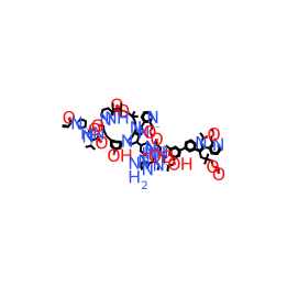 C=CC(=O)N1CC[C@H](C(=O)N(C)[C@H](C(=O)N[C@H]2Cc3cc(O)cc(c3)N3Cc4c(nc(-c5cccnc5[C@H](C)OC)n4CC(C)(C)COC(=O)[C@@H]4CCCN(N4)C2=O)C(C2CCNN(C(=O)[C@H](Cc4cc(O)cc(-c5ccc6c(c5)c(CC(C)(C)COC=O)c(-c5cccnc5[C@H](C)OC)n6CC)c4)NC(=O)[C@H](C(C)C)N(C)C(=O)c4ncc(N)n4C)C2)C3)C(C)C)C1